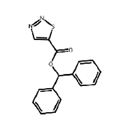 O=C(OC(c1ccccc1)c1ccccc1)c1cnns1